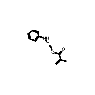 C=C(C)C(=O)OCCNc1ccccc1